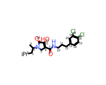 CC(C)CC(C)N1CC(C(=O)NCCCc2ccc(Cl)c(Cl)c2)=C(O)C1=O